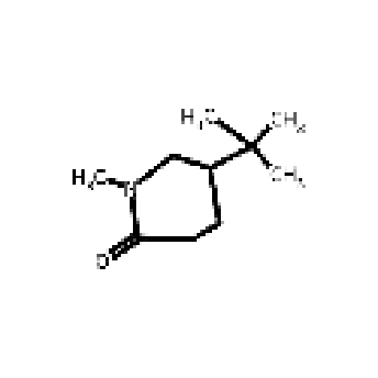 CN1CC(C(C)(C)C)CCC1=O